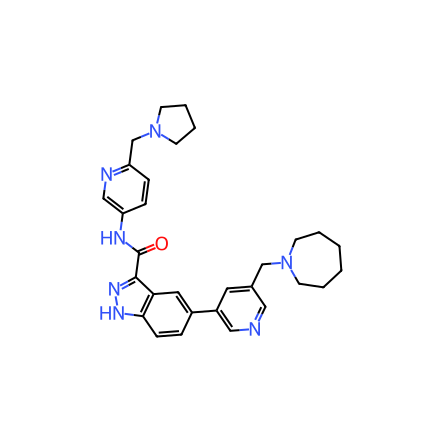 O=C(Nc1ccc(CN2CCCC2)nc1)c1n[nH]c2ccc(-c3cncc(CN4CCCCCC4)c3)cc12